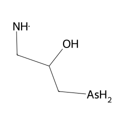 [NH]CC(O)C[AsH2]